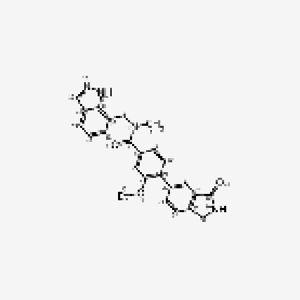 CCOc1cc(C(=O)N(C)Cc2cccc3cn[nH]c23)ccc1-c1ccc2c(c1)C(=O)NC2